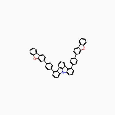 c1ccc2c(c1)oc1cc(-c3ccc(-c4cccc5c4c4cccc6c7c(-c8ccc(-c9ccc%10c(c9)oc9ccccc9%10)cc8)cccc7n5c46)cc3)ccc12